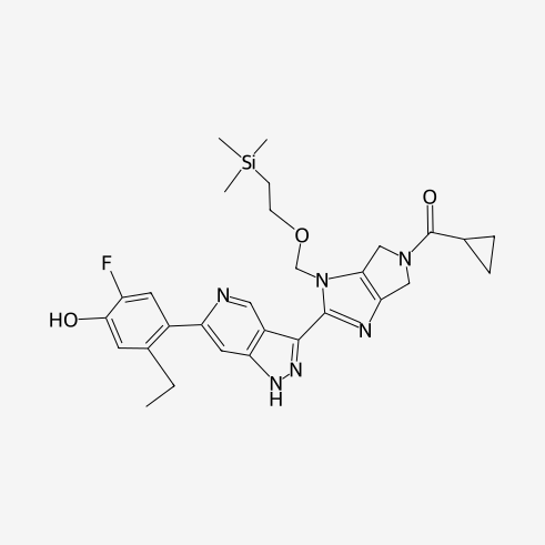 CCc1cc(O)c(F)cc1-c1cc2[nH]nc(-c3nc4c(n3COCC[Si](C)(C)C)CN(C(=O)C3CC3)C4)c2cn1